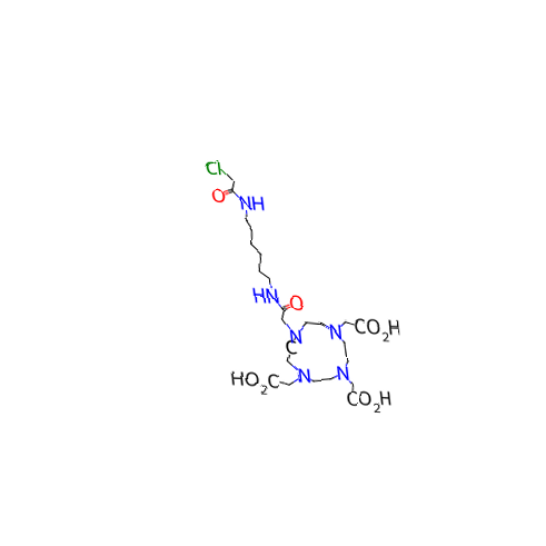 O=C(O)CN1CCN(CC(=O)O)CCN(CC(=O)NCCCCCCNC(=O)CCl)CCN(CC(=O)O)CC1